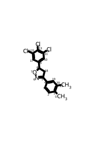 Cc1ccc(C2=NOC(c3cc(Cl)c(Cl)c(Cl)c3)C2)cc1C